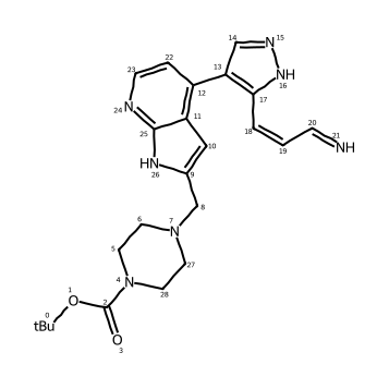 CC(C)(C)OC(=O)N1CCN(Cc2cc3c(-c4cn[nH]c4/C=C\C=N)ccnc3[nH]2)CC1